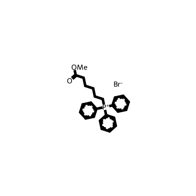 COC(=O)CCCCC[P+](c1ccccc1)(c1ccccc1)c1ccccc1.[Br-]